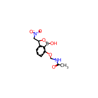 CC(=O)NCOc1cccc2c1B(O)OC2C[N+](=O)[O-]